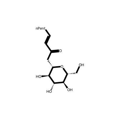 CCCCC/C=C/C(=O)C[C@@H]1O[C@H](CO)[C@@H](O)[C@H](O)[C@H]1O